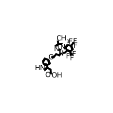 CCc1cnc(N(CCCOc2ccc3[nH]cc(CC(=O)O)c3c2)Cc2ccc(C(F)(F)F)cc2C(F)(F)F)nc1